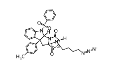 Cc1ccc([C@]23C[C@@]45SS[C@@H](C(=O)N4[C@H]2N(S(=O)(=O)c2ccccc2)c2ccccc23)N(CCCCN=[N+]=[N-])C5=O)cc1